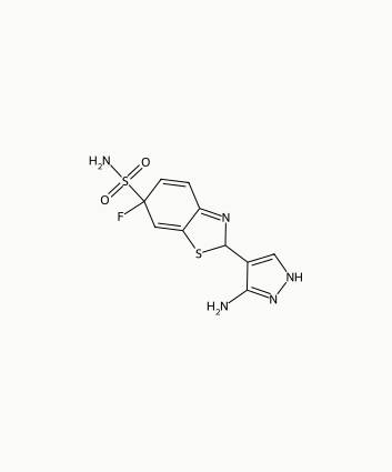 Nc1n[nH]cc1C1N=C2C=CC(F)(S(N)(=O)=O)C=C2S1